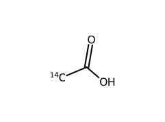 [14CH3]C(=O)O